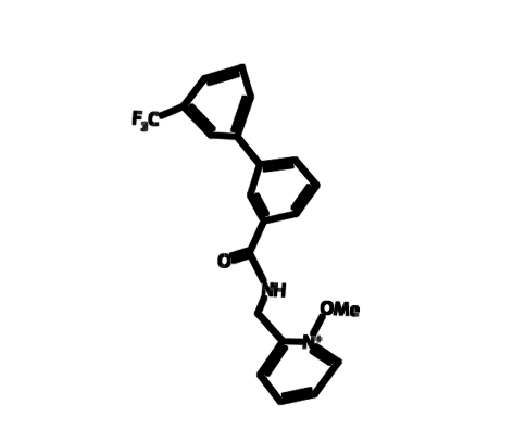 CO[n+]1ccccc1CNC(=O)c1cccc(-c2cccc(C(F)(F)F)c2)c1